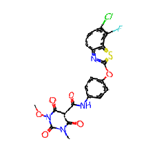 CON1C(=O)C(C(=O)Nc2ccc(Oc3nc4ccc(Cl)c(F)c4s3)cc2)C(=O)N(C)C1=O